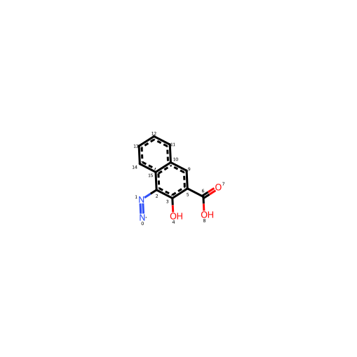 [N]=Nc1c(O)c(C(=O)O)cc2ccccc12